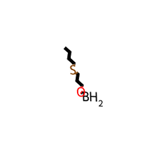 BOCCCSCCCC